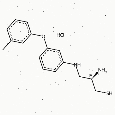 Cc1cccc(Oc2cccc(NC[C@@H](N)CS)c2)c1.Cl